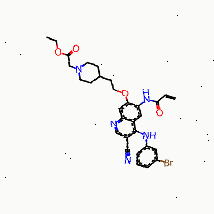 C=CC(=O)Nc1cc2c(Nc3cccc(Br)c3)c(C#N)cnc2cc1OCCC1CCN(CC(=O)OCC)CC1